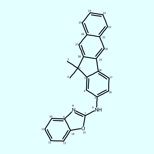 CC1(C)c2cc(Nc3nc4ccccc4o3)ccc2-c2cc3ccccc3cc21